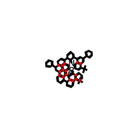 CC(C)(C)c1ccc2c(c1)B1c3cc(C(C)(C)C)ccc3N(C3C(C4=CC(C5=CCCC=C5)=CCC4)=CC=CC3C3=CCCC(C4=CC=CCC4)=C3)c3cccc(c31)N2c1c(C2=CC=CC(c3ccccc3)C2)cccc1C1C=CC=C(c2ccccc2)C1